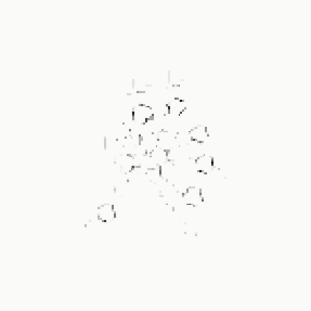 COCCOCCOCC(=O)N[C@H]1C(COCc2ccc(OC)cc2)OCC(NC(=O)Nc2cccc(C(F)(F)F)c2)[C@H]1O[C@@H]1OC(COCc2ccc(OC)cc2)[C@@H](OCc2ccc(OC)cc2)[C@H](OCc2ccc(OC)cc2)C1NC(=O)Nc1cccc(C(F)(F)F)c1